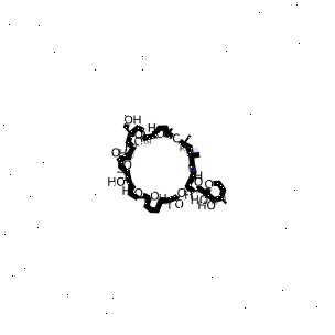 CC1=C/[C@H](C)C[C@@]2(C)CC[C@@H](O2)[C@@]23CC[C@@](CO)(C[C@@H](O2)[C@H]2O[C@](C)(CC2=O)[C@@H](O)[C@@H]2CC[C@@]4(CCC[C@H](O4)[C@@H](C)C(=O)O[C@@H]4C[C@@H]([C@@]5(O)OCC[C@@H](C)[C@H]5O)O[C@@H]4\C=C\1)O2)O3